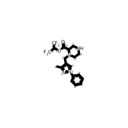 Cc1nn(-c2ccccc2)cc1CN1CCNCC1C(=O)OC(C(F)(F)F)C(F)(F)F